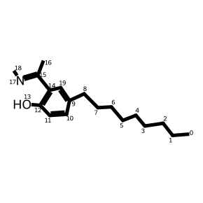 CCCCCCCCCc1ccc(O)c(/C(C)=N/C)c1